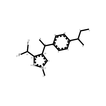 CCC(C)c1ccc(C(C)c2cn(C)nc2C(F)F)cc1